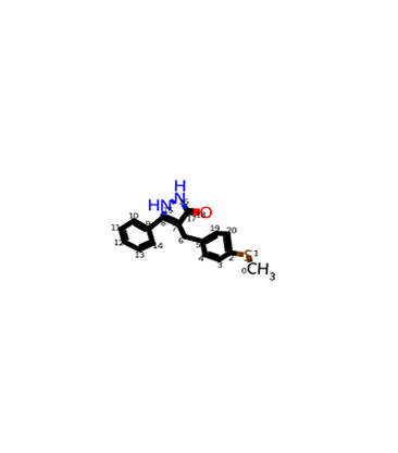 CSc1ccc(Cc2c(-c3ccccc3)[nH][nH]c2=O)cc1